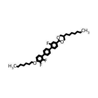 CCCCCCCOc1ccc(-c2ccc(-c3ccc(C4OCC(CCCCCCC)CO4)cc3F)cc2)c(F)c1F